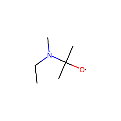 CCN(C)C(C)(C)[O]